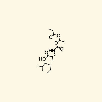 CCC(=O)O[C@@H](C)OC(=O)NC[C@H](C[C@H](CC)CC(C)C)C(=O)O